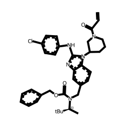 C=CC(=O)N1CCCC(n2c(Nc3ccc(Cl)cc3)nc3cc(CN(C(=O)OCc4ccccc4)[C@@H](C)C(C)(C)C)ccc32)C1